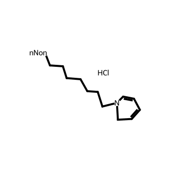 CCCCCCCCCCCCCCCCN1C=CC=CC1.Cl